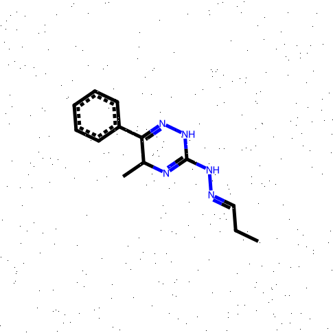 CCC=NNC1=NC(C)C(c2ccccc2)=NN1